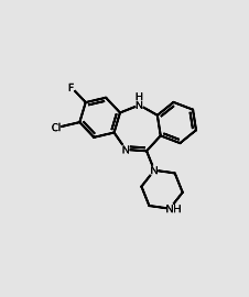 Fc1cc2c(cc1Cl)N=C(N1CCNCC1)c1ccccc1N2